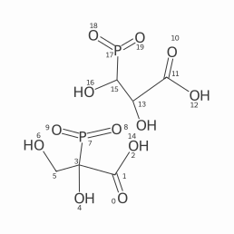 O=C(O)C(O)(CO)P(=O)=O.O=C(O)C(O)C(O)P(=O)=O